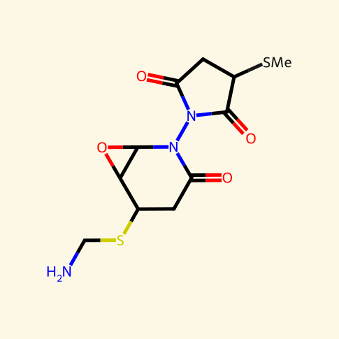 CSC1CC(=O)N(N2C(=O)CC(SCN)C3OC32)C1=O